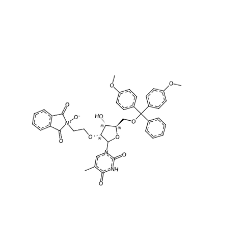 COc1ccc(C(OC[C@H]2OC(n3cc(C)c(=O)[nH]c3=O)[C@H](OCC[N+]3([O-])C(=O)c4ccccc4C3=O)[C@@H]2O)(c2ccccc2)c2ccc(OC)cc2)cc1